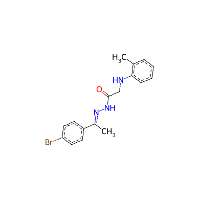 C/C(=N\NC(=O)CNc1ccccc1C)c1ccc(Br)cc1